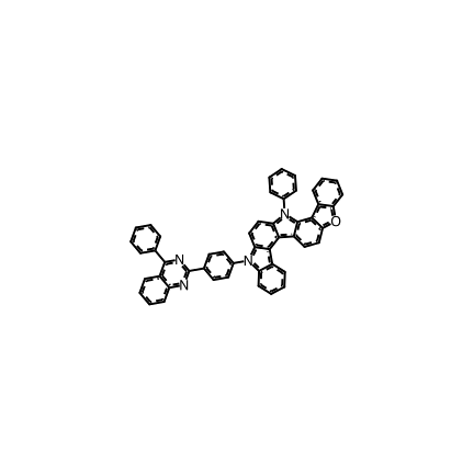 c1ccc(-c2nc(-c3ccc(-n4c5ccccc5c5c6c7ccc8oc9ccccc9c8c7n(-c7ccccc7)c6ccc54)cc3)nc3ccccc23)cc1